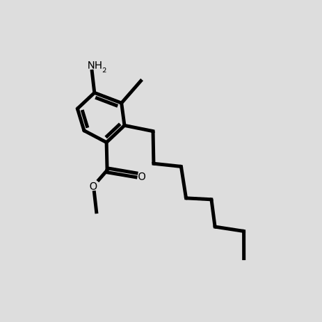 CCCCCCCCc1c(C(=O)OC)ccc(N)c1C